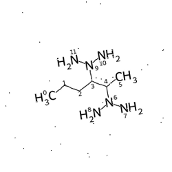 CCCC(C(C)N(N)N)N(N)N